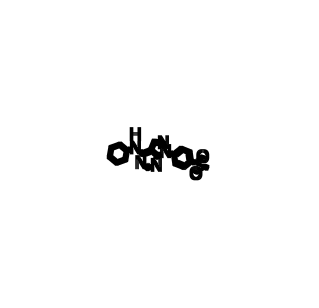 CS(=O)(=O)c1ccc(-n2ncc3c(NC4CCCCC4)ncnc32)cc1